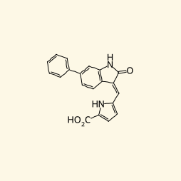 O=C1Nc2cc(-c3ccccc3)ccc2C1=Cc1ccc(C(=O)O)[nH]1